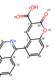 O=C(O)c1cc2c(-c3nccc4ccccc34)cccc2oc1=O